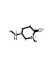 CN[C@H]1CCC(=O)N(C)C1